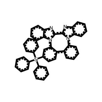 c1ccc([Si](c2ccccc2)(c2ccccc2)c2ccc3c4ccccc4n4c5ccccc5nc4c4nc5ccccc5n4c3c2)cc1